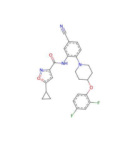 N#Cc1ccc(N2CCC(Oc3ccc(F)cc3F)CC2)c(NC(=O)c2cc(C3CC3)on2)c1